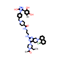 CCC(=O)N1CCN(c2nc(NCCCNC(=O)C3CCN(Cc4ccc(-n5c(O)nnc5-c5cc(C(C)C)c(O)cc5O)cc4)CC3)nc3c2CCN(c2cccc4cccc(Cl)c24)C3)CC1CC#N